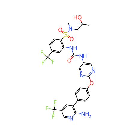 CC(O)CN(C)S(=O)(=O)c1ccc(C(F)(F)F)cc1NC(=O)Nc1cnc(Oc2ccc(-c3cc(C(F)(F)F)cnc3N)cc2)nc1